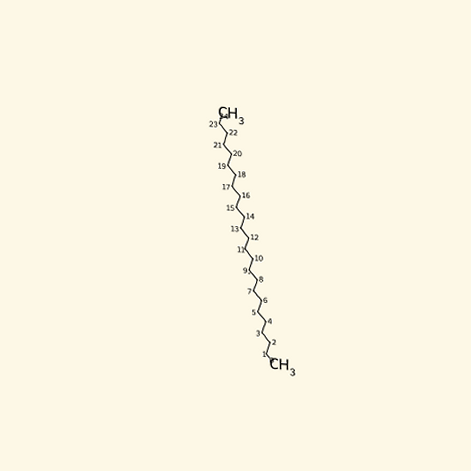 CCCCCCCCC[CH]CCCCCCCCCCCCCCC